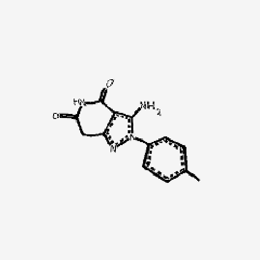 Cc1ccc(-n2nc3c(c2N)C(=O)NC(=O)C3)cc1